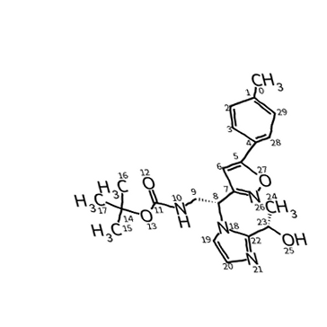 Cc1ccc(-c2cc([C@@H](CNC(=O)OC(C)(C)C)n3ccnc3[C@H](C)O)no2)cc1